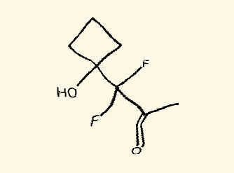 CC(=O)C(F)(F)C1(O)CCC1